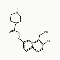 CN1CCN(C(=O)COc2ccc3ccc(O)c(CO)c3c2)CC1